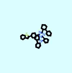 c1ccc(-c2ccccc2-c2nc(-c3ccc(-c4cc5ccccc5s4)cc3)nc(-c3ccccc3-n3c4ccccc4c4ccccc43)n2)cc1